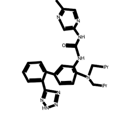 Cc1cnc(NC(=O)Nc2cc(-c3ccccc3-c3nn[nH]n3)ccc2N(CC(C)C)CC(C)C)cn1